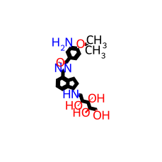 CC(C)Oc1ccc(-c2nc(-c3cccc4c3CC[C@@H]4NC[C@@H](O)[C@H](O)[C@H](O)CO)no2)cc1N